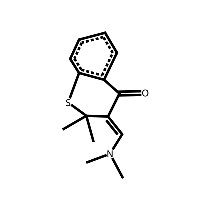 CN(C)C=C1C(=O)c2ccccc2SC1(C)C